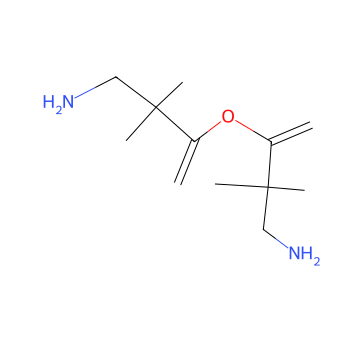 C=C(OC(=C)C(C)(C)CN)C(C)(C)CN